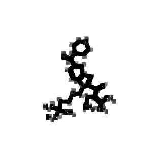 CC(C)=C(CN)C(=O)c1cc2cc(C(=O)N3CCOCC3)ccc2n1COCC[Si](C)(C)C